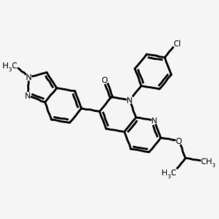 CC(C)Oc1ccc2cc(-c3ccc4nn(C)cc4c3)c(=O)n(-c3ccc(Cl)cc3)c2n1